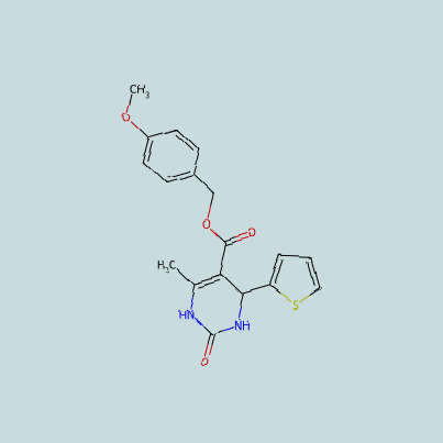 COc1ccc(COC(=O)C2=C(C)NC(=O)NC2c2cccs2)cc1